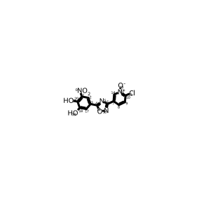 O=[N+]([O-])c1cc(-c2nc(-c3ccc(Cl)[n+]([O-])c3)no2)cc(O)c1O